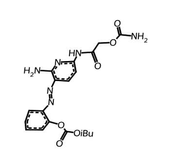 CC(C)COC(=O)Oc1ccccc1N=Nc1ccc(NC(=O)COC(N)=O)nc1N